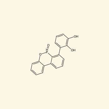 O=[PH]1Oc2ccccc2-c2cccc(-c3cccc(O)c3O)c21